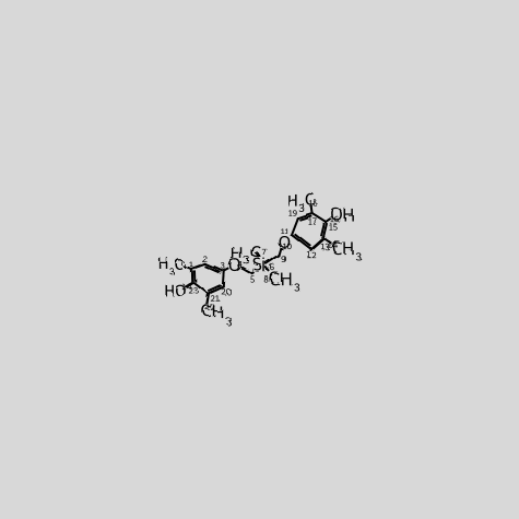 Cc1cc(OC[Si](C)(C)COc2cc(C)c(O)c(C)c2)cc(C)c1O